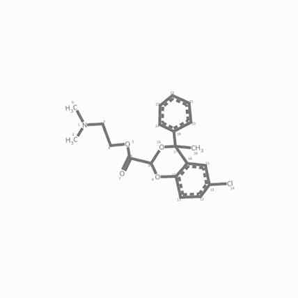 CN(C)CCOC(=O)C1Oc2ccc(Cl)cc2C(C)(c2ccccc2)O1